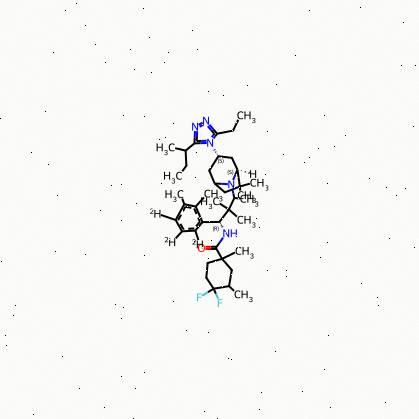 [2H]c1c([2H])c(C)c(C)c([C@@H](NC(=O)C2(C)CCC(F)(F)C(C)C2)C(C)(C)C(C)N2C3C[C@H](n4c(CC)nnc4C(C)CC)C[C@H]2C(C)(C)C3)c1[2H]